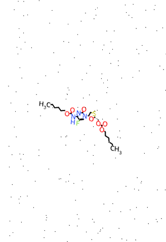 CCCCCCOC(=O)Nc1nc(=O)n([C@@H]2CS[C@H](COC(=O)OCCCCCC)O2)cc1F